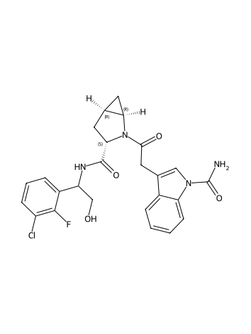 NC(=O)n1cc(CC(=O)N2[C@@H]3C[C@@H]3C[C@H]2C(=O)NC(CO)c2cccc(Cl)c2F)c2ccccc21